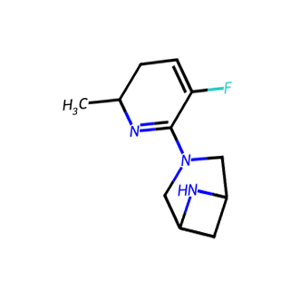 CC1CC=C(F)C(N2CC3CC(C2)N3)=N1